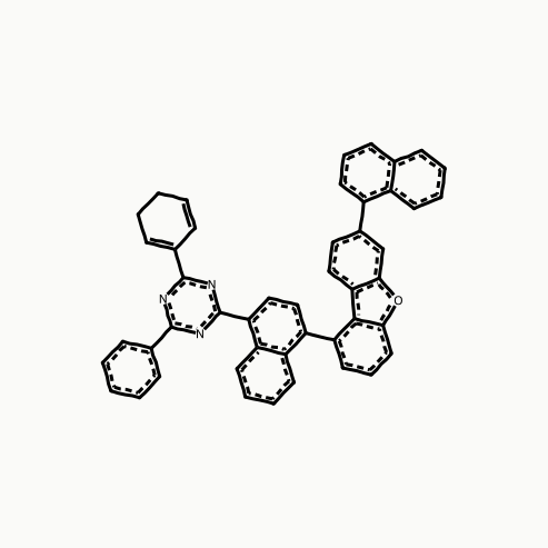 C1=CC(c2nc(-c3ccccc3)nc(-c3ccc(-c4cccc5oc6cc(-c7cccc8ccccc78)ccc6c45)c4ccccc34)n2)=CCC1